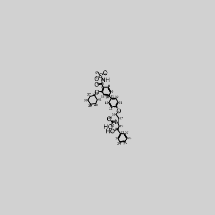 CS(=O)(=O)NC(=O)c1ccc(-c2ccc(OCCN(C[C@H](O)c3ccccc3)C(=O)O)cc2)cc1OC1CCCCC1